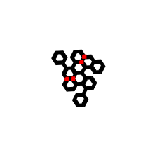 c1ccc(-c2cccc([C](c3cccc(-c4ccccc4)c3-c3ccccc3)c3cccc4ccccc34)c2-c2ccccc2)cc1